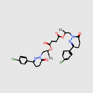 CCC(CN1N=C(c2ccc(Cl)cc2)CCC1=O)OC(=O)CCC(=O)OC(CC)CN1N=C(c2ccc(Cl)cc2)CCC1=O